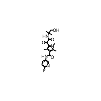 Cc1c(C(=O)Nc2ccc(F)nc2)c(C)n(C)c1C(=O)C(=O)NC(C)(C)CO